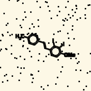 COc1ccc(C=Cc2ccc(C)cc2)c(I)c1I